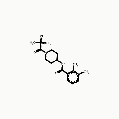 Cc1cccc(C(=O)NC2CCN(C(=O)C(C)(O)C(F)(F)F)CC2)c1C